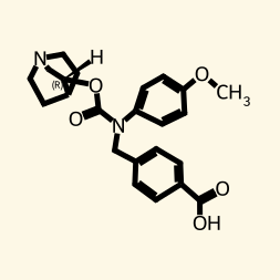 COc1ccc(N(Cc2ccc(C(=O)O)cc2)C(=O)O[C@H]2CN3CCC2CC3)cc1